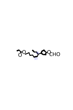 C=C/C=C(\C=C/CCCCOC(=O)C=C)c1ccc(OC=O)cc1